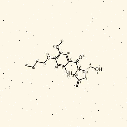 C=C1C[C@@H](CO)N(C(=O)c2cc(OC)c(OCCCC)cc2N)C1